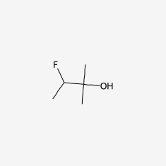 CC(F)C(C)(C)O